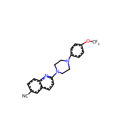 N#Cc1ccc2nc(N3CCN(c4ccc(OC(F)(F)F)cc4)CC3)ccc2c1